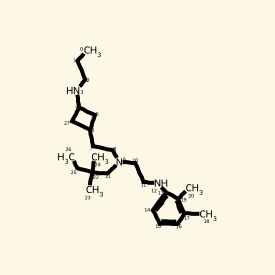 CCCNC1CC(CCN(CCNc2cccc(C)c2C)CC(C)(C)CC)C1